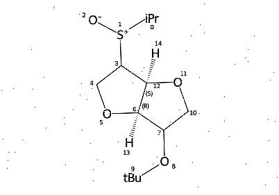 CC(C)[S+]([O-])C1CO[C@@H]2C(OC(C)(C)C)CO[C@H]12